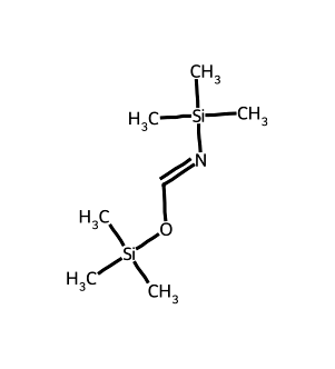 C[Si](C)(C)/N=C/O[Si](C)(C)C